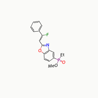 CCP(=O)(OC)c1ccc2oc(C=C(F)c3ccccc3)nc2c1